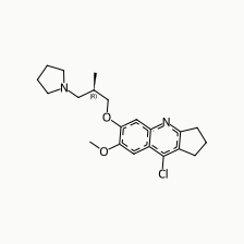 COc1cc2c(Cl)c3c(nc2cc1OC[C@H](C)CN1CCCC1)CCC3